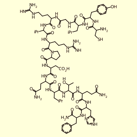 CC(C)CC(NC(=O)C(Cc1ccc(O)cc1)NC(=O)C(N)CS)C(=O)NCC(=O)NC(CCCNC(=N)N)C(=O)NC(C(=O)NC(CCCNC(=N)N)C(=O)N1CCCC1C(=O)NC(CC(=O)O)C(=O)NC(CCC(N)=O)C(=O)NC(CC(C)C)C(=O)NC(C(=O)NC(CCC(N)=O)C(=O)NC(Cc1c[nH]cn1)C(=O)NC(Cc1ccccc1)C(N)=O)C(C)O)C(C)C